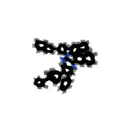 c1ccc(-c2ccc(-c3cc4nc(-n5c6cc(-c7ccc8ccccc8c7)ccc6c6cc7ccccc7cc65)c(-c5ccc6ccccc6c5)nc4cc3-c3ccccc3)cc2)cc1